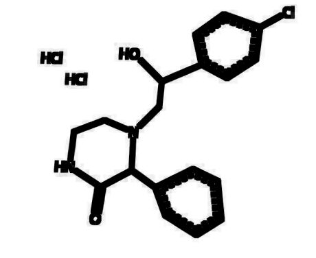 Cl.Cl.O=C1NCCN(CC(O)c2ccc(Cl)cc2)C1c1ccccc1